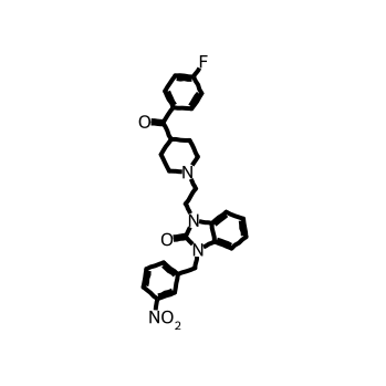 O=C(c1ccc(F)cc1)C1CCN(CCn2c(=O)n(Cc3cccc([N+](=O)[O-])c3)c3ccccc32)CC1